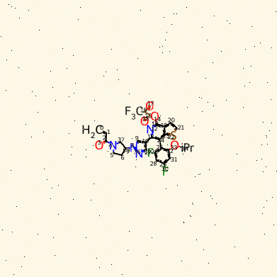 C=CC(=O)N1CC[C@H](n2cc(-c3nc(OS(=O)(=O)C(F)(F)F)c4ccsc4c3-c3c(F)cc(F)cc3OC(C)C)cn2)C1